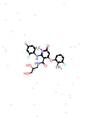 Cc1c(F)cccc1Oc1cc(=O)n(C)c(Nc2ccc(I)cc2F)c1C(=O)NC[C@H](O)CO